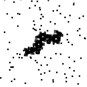 Cc1ccc(NC(=O)c2ccnc(N(C)C)c2)cc1-c1ccc(C(=O)NCC2CC2)cc1